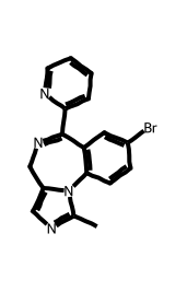 Cc1ncc2n1-c1ccc(Br)cc1C(c1ccccn1)=NC2